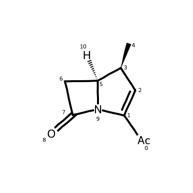 CC(=O)C1=C[C@H](C)[C@@H]2CC(=O)N12